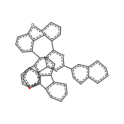 c1ccc(-c2nc(-c3ccc4ccccc4c3)nc(-c3cccc4oc5cccc(-c6ccc7c8c(cccc68)-c6ccccc6-7)c5c34)n2)cc1